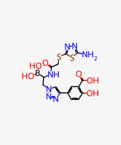 Nc1nnc(SCC(=O)NC(Cn2cc(-c3ccc(O)c(C(=O)O)c3)nn2)B(O)O)s1